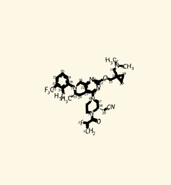 C=C(F)C(=O)N1CCN(c2nc(OCC3(CN(C)C)CC3)nc3c2C[C@H](C)N(c2cccc(C(F)(F)F)c2C)C3)C[C@@H]1CC#N